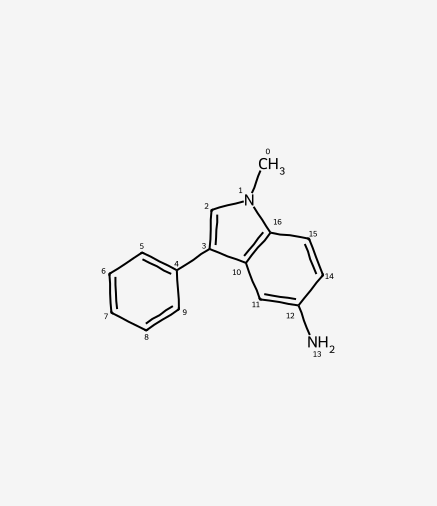 Cn1cc(-c2ccccc2)c2cc(N)ccc21